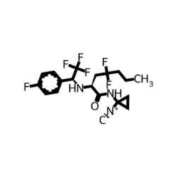 [C-]#[N+]C1(NC(=O)[C@H](CC(F)(F)CCC)N[C@@H](c2ccc(F)cc2)C(F)(F)F)CC1